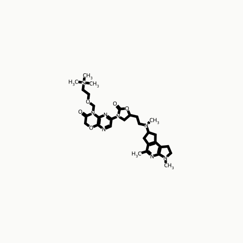 Cc1nc2c(c3c1CC(N(C)CCC1CN(c4cnc5c(n4)N(COCC[Si](C)(C)C)C(=O)CO5)C(=O)O1)C3)CCN2C